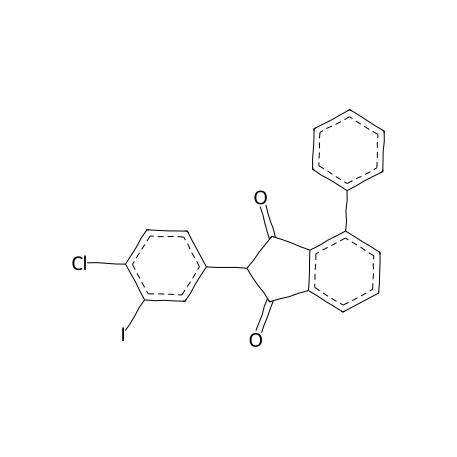 O=C1c2cccc(-c3ccccc3)c2C(=O)C1c1ccc(Cl)c(I)c1